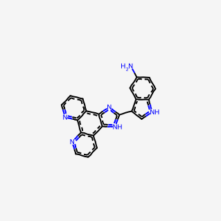 Nc1ccc2[nH]cc(-c3nc4c5cccnc5c5ncccc5c4[nH]3)c2c1